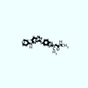 CNC(=O)CN(C)c1nc2ccc(Sc3nnc4ccc(NC5CCOCC5)nn34)cc2s1